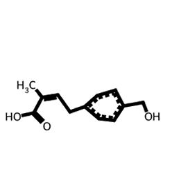 CC(=CCc1ccc(CO)cc1)C(=O)O